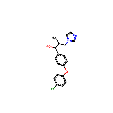 CC(Cn1ccnc1)C(O)c1ccc(Oc2ccc(Cl)cc2)cc1